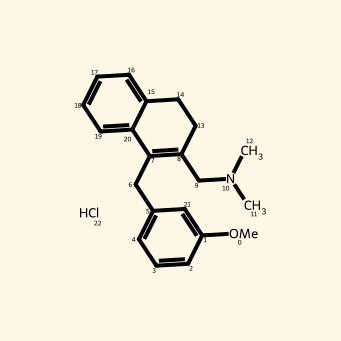 COc1cccc(CC2=C(CN(C)C)CCc3ccccc32)c1.Cl